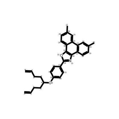 C=CCCC(CCC=C)Oc1ccc(-c2nc3c4ccc(C)cc4c4cc(C)ccc4c3o2)cc1